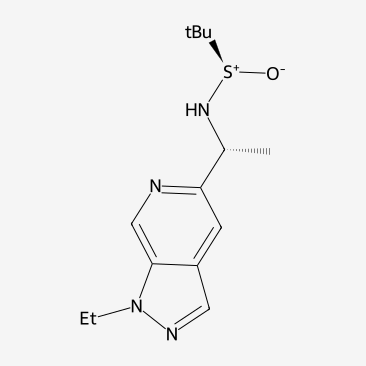 CCn1ncc2cc([C@@H](C)N[S@+]([O-])C(C)(C)C)ncc21